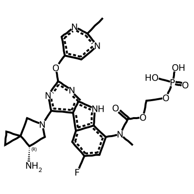 Cc1ncc(Oc2nc(N3C[C@H](N)C4(CC4)C3)c3c(n2)[nH]c2c(N(C)C(=O)OCOP(=O)(O)O)cc(F)cc23)cn1